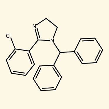 Clc1ccccc1C1=NCCN1C(c1ccccc1)c1ccccc1